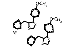 COc1ccc(C2SCSC2Cc2ccccc2)cc1.COc1ccc(C2SCSC2Cc2ccccc2)cc1.[Ni]